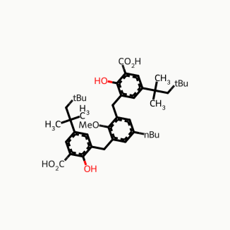 CCCCc1cc(Cc2cc(C(C)(C)CC(C)(C)C)cc(C(=O)O)c2O)c(OC)c(Cc2cc(C(C)(C)CC(C)(C)C)cc(C(=O)O)c2O)c1